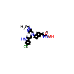 CCn1cc(CN(CCc2c[nH]c3cc(Cl)ccc23)C2CCc3cc(C=CC(=O)NO)ccc32)cn1